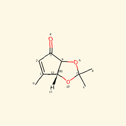 CC1=CC(=O)C2OC(C)(C)O[C@H]12